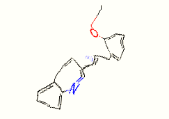 COc1ccccc1/C=C/c1ccc2ccccc2n1